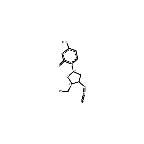 [N-]=[N+]=NC1C[C@H](n2ccc(N)nc2=O)O[C@@H]1CO